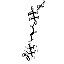 O=S(=O)(F)C(F)(F)C(F)(F)OC/C=C/COC(F)(F)C(F)(F)SOOF